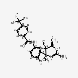 C=C1OC(N)=N[C@](C)(c2cc(NC(=O)c3ncc(C(F)(F)F)cn3)ccc2F)C1(F)F